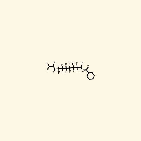 O=C(OC(F)C(F)(F)C(F)(F)C(F)(F)C(F)(F)C(F)(F)C(F)(F)C(F)C(F)C(F)F)C1CCCCC1